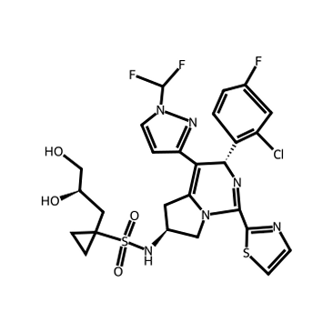 O=S(=O)(N[C@H]1CC2=C(c3ccn(C(F)F)n3)[C@H](c3ccc(F)cc3Cl)N=C(c3nccs3)N2C1)C1(C[C@@H](O)CO)CC1